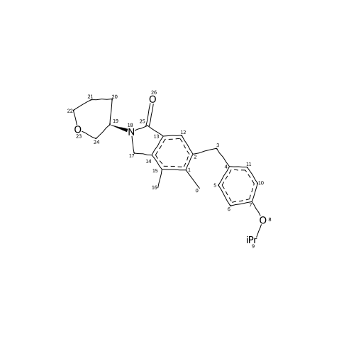 Cc1c(Cc2ccc(OC(C)C)cc2)cc2c(c1C)CN([C@@H]1CCCOC1)C2=O